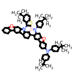 CC(C)(C)c1ccc(N2B3c4sc5ccc(C(C)(C)C)cc5c4-n4c5cc6oc7ccccc7c6cc5c5ccc(c3c54)-c3cc4c(cc32)oc2cc(N(c3ccc(C(C)(C)C)cc3)c3ccc(C(C)(C)C)cc3)ccc24)cc1